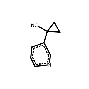 N#CC1(c2c[c]cnc2)CC1